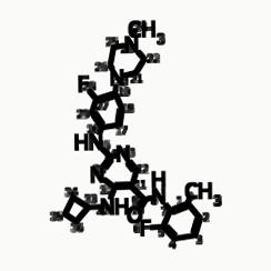 Cc1cccc(F)c1NC(=O)c1cnc(Nc2ccc(N3CCN(C)CC3)c(F)c2)nc1NC1CCC1